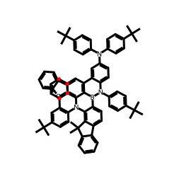 CC(C)(C)c1ccc(N2B3c4ccc5c(c4N(c4ccc(C(C)(C)C)cc4-c4ccccc4)c4c3c(cc3c4oc4ccccc43)-c3cc(N(c4ccc(C(C)(C)C)cc4)c4ccc(C(C)(C)C)cc4)ccc32)C(C)(C)c2ccccc2-5)cc1